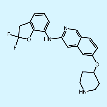 FC1(F)Cc2cccc(Nc3cc4cc(OC5CCNCC5)ccc4cn3)c2O1